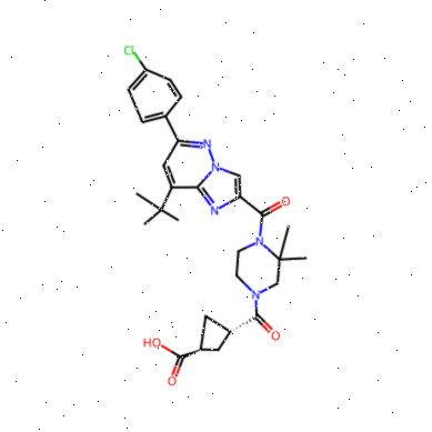 CC(C)(C)c1cc(-c2ccc(Cl)cc2)nn2cc(C(=O)N3CCN(C(=O)[C@H]4C[C@H](C(=O)O)C4)CC3(C)C)nc12